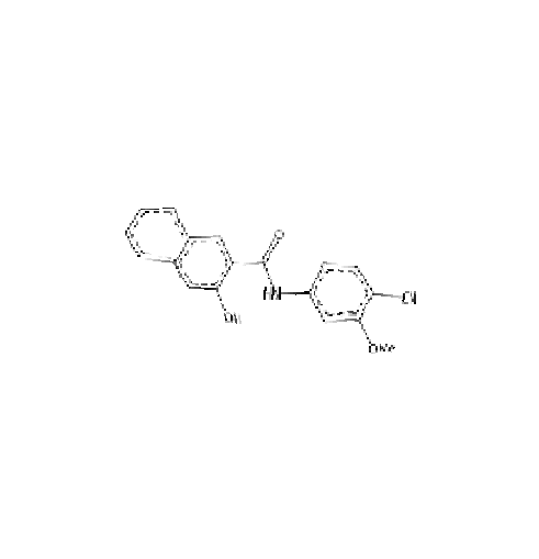 COc1cc(NC(=O)c2cc3ccccc3cc2O)ccc1C#N